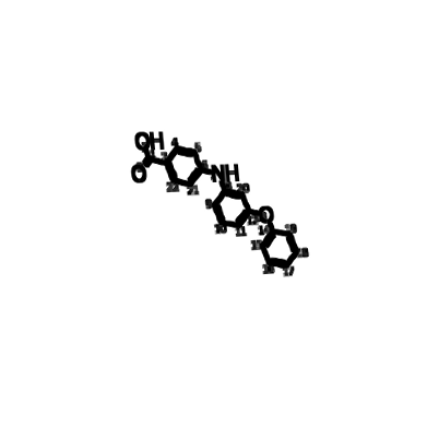 O=C(O)c1ccc(Nc2cccc(Oc3ccccc3)c2)cc1